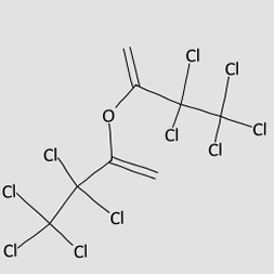 C=C(OC(=C)C(Cl)(Cl)C(Cl)(Cl)Cl)C(Cl)(Cl)C(Cl)(Cl)Cl